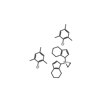 C1=C[CH]([Zr+2]2([CH]3C=CC4=C3CCCC4)[CH2][CH2]2)C2=C1CCCC2.Cc1cc(C)c([O-])c(C)c1.Cc1cc(C)c([O-])c(C)c1